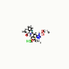 COC(=O)Cn1nnnc1/C=C1/CN(C(C(=O)C2CC2)c2ccccc2F)CCC1SC(C)=O.Cl